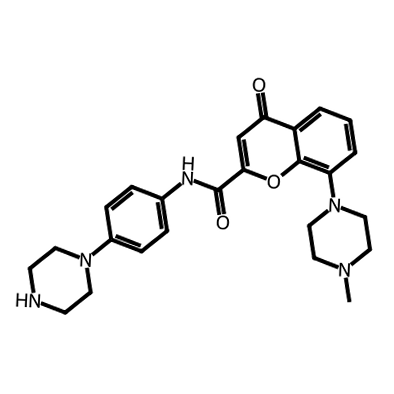 CN1CCN(c2cccc3c(=O)cc(C(=O)Nc4ccc(N5CCNCC5)cc4)oc23)CC1